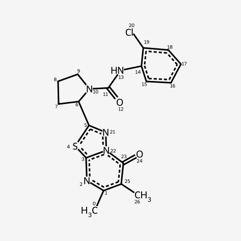 Cc1nc2sc(C3CCCN3C(=O)Nc3ccccc3Cl)nn2c(=O)c1C